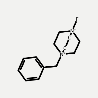 F[N+]12CC[N+](Cc3ccccc3)(CC1)CC2